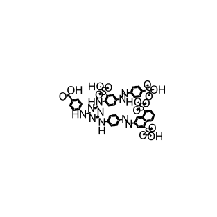 O=C(O)c1ccc(Nc2nc(Nc3ccc(N=Nc4cc(S(=O)(=O)O)c5cccc(S(=O)(=O)O)c5c4)cc3)nc(Nc3ccc(N=Nc4ccc(S(=O)(=O)O)cc4)cc3S(=O)(=O)O)n2)cc1